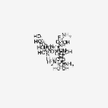 NC[C@@H]1O[C@H](O[C@H]2[C@@H](O)[C@H](O[C@@H]3[C@@H](O)[C@H](NC(=O)C(O)[C@@H](F)CN)C[C@H](N)[C@H]3O[C@H]3O[C@H](CNCC(O)CO)[C@@H](O)[C@H](O)[C@H]3N)O[C@@H]2CO)[C@H](N)[C@@H](O)[C@@H]1O